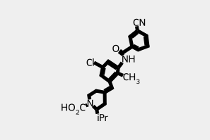 Cc1c(C=C2CCN(C(=O)O)C(C(C)C)C2)cc(Cl)cc1NC(=O)c1cccc(C#N)c1